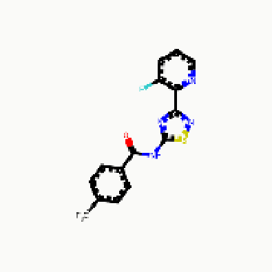 O=C(Nc1nc(-c2ncccc2F)ns1)c1ccc(C(F)(F)F)cc1